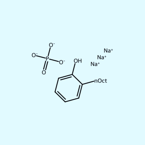 CCCCCCCCc1ccccc1O.O=P([O-])([O-])[O-].[Na+].[Na+].[Na+]